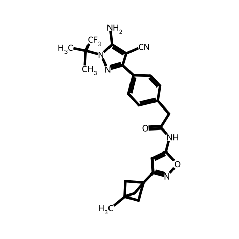 CC12CC(c3cc(NC(=O)Cc4ccc(-c5nn(C(C)(C)C(F)(F)F)c(N)c5C#N)cc4)on3)(C1)C2